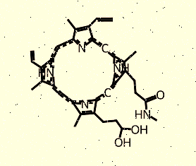 C=CC1=C(C)c2cc3[nH]c(cc4nc(cc5[nH]c(cc1n2)c(C)c5CCC(=O)NC)C(CCC(O)O)=C4C)c(C)c3C=C